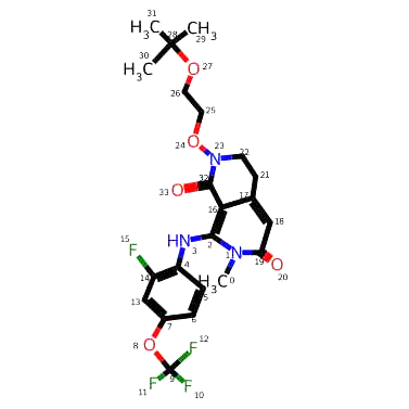 Cn1c(Nc2ccc(OC(F)(F)F)cc2F)c2c(cc1=O)CCN(OCCOC(C)(C)C)C2=O